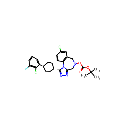 CC(C)(C)OC(=O)ON1Cc2cc(Cl)ccc2-n2c(nnc2[C@H]2CC[C@H](c3cccc(F)c3Cl)CC2)C1